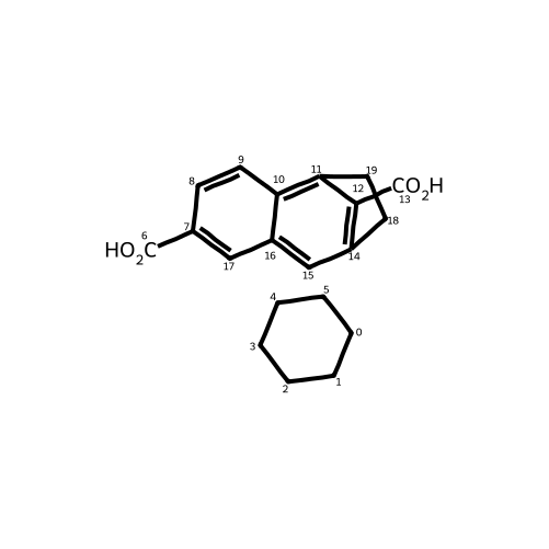 C1CCCCC1.O=C(O)c1ccc2c3c(C(=O)O)c(cc2c1)CC3